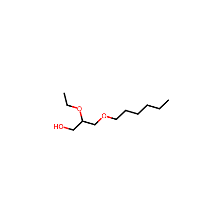 CCCCCCOCC(CO)OCC